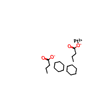 C1CCCCC1.C1CCCCC1.CCCC(=O)[O-].CCCC(=O)[O-].[Pt+2]